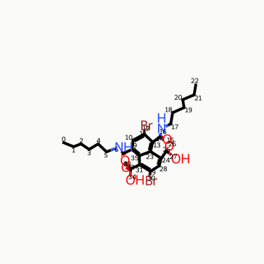 CCCCCCNC(=O)c1cc(Br)c(C(=O)NCCCCCC)c2c(C(=O)O)cc(Br)c(C(=O)O)c12